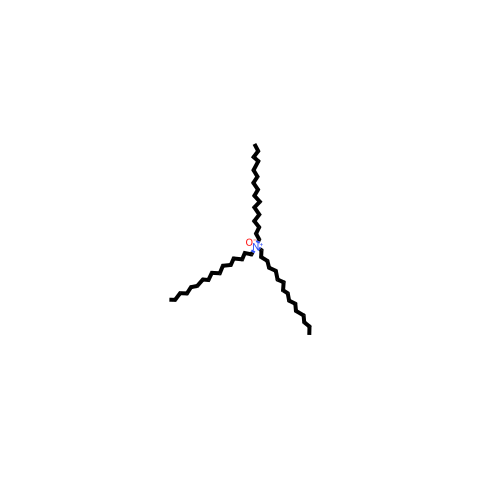 CCCCCCCCCCCCCCCC[N+]([O-])(CCCCCCCCCCCCCCCC)CCCCCCCCCCCCCCCC